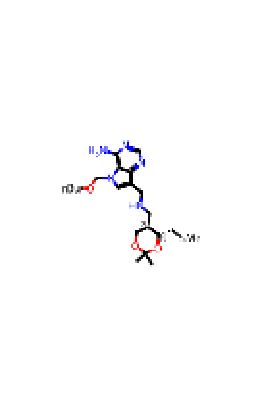 CCCCOCn1cc(CNC[C@@H]2COC(C)(C)O[C@H]2CSC)c2ncnc(N)c21